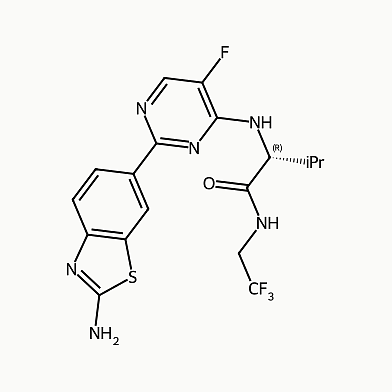 CC(C)[C@@H](Nc1nc(-c2ccc3nc(N)sc3c2)ncc1F)C(=O)NCC(F)(F)F